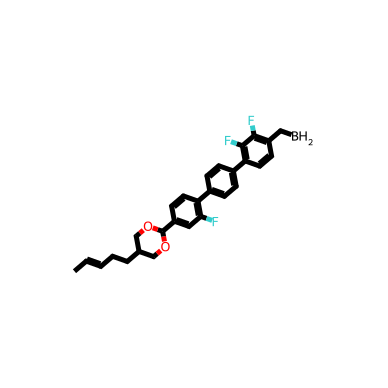 BCc1ccc(-c2ccc(-c3ccc(C4OCC(CC/C=C/C)CO4)cc3F)cc2)c(F)c1F